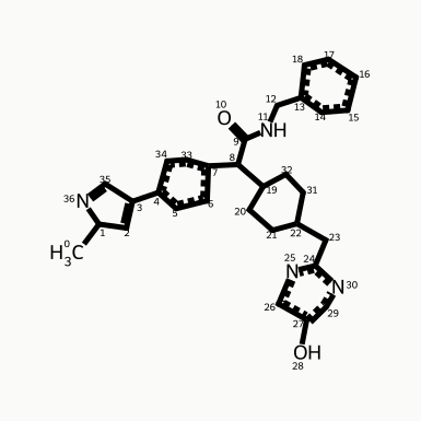 CC1C=C(c2ccc(C(C(=O)NCc3ccccc3)C3CCC(Cc4ncc(O)cn4)CC3)cc2)C=N1